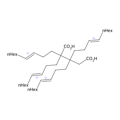 CCCCCC/C=C/CCC(CC/C=C/CCCCCC)(CC(=O)O)C(CC/C=C/CCCCCC)(CC/C=C/CCCCCC)C(=O)O